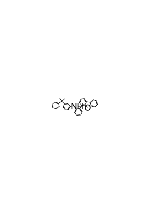 CC1(C)c2ccccc2-c2ccc(Nc3ccccc3-c3cccc4c3oc3ccccc34)cc21